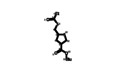 CCC(=O)SCC1CC(C(=O)OC(C)(C)C)CS1